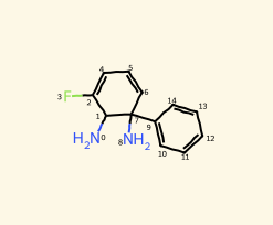 NC1C(F)=CC=CC1(N)c1ccccc1